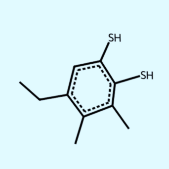 CCc1cc(S)c(S)c(C)c1C